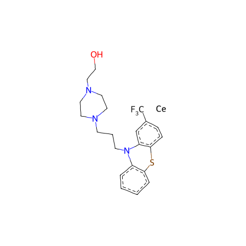 OCCN1CCN(CCCN2c3ccccc3Sc3ccc(C(F)(F)F)cc32)CC1.[Ce]